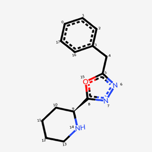 c1ccc(Cc2nnc([C@@H]3CCCCN3)o2)cc1